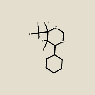 OC1(C(F)(F)F)OCOC(C2CCCCC2)C1(F)F